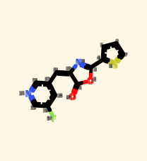 O=C1OC(c2cccs2)=N/C1=C/c1cncc(F)c1